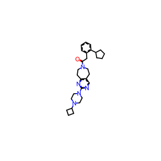 O=C(Cc1ccccc1C1CCCC1)N1CCc2cnc(N3CCN(C4CCC4)CC3)nc2CC1